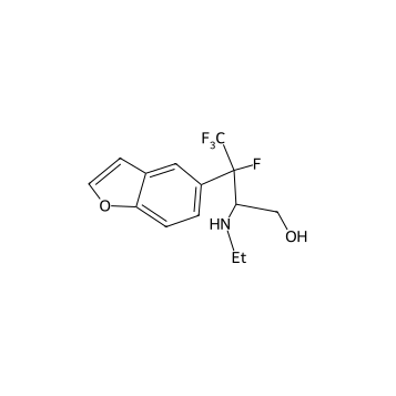 CCNC(CO)C(F)(c1ccc2occc2c1)C(F)(F)F